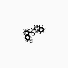 NC(=Nc1ccccc1)NC(=O)c1ccnc2ccc(Cl)cc12